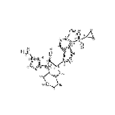 Cc1ccc2c(cnn2[C@H](CC2CCOCC2)C(=O)Nc2ccn(C)n2)c1S(=O)(=O)C1CC1